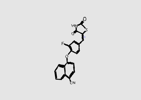 N#Cc1ccc(Oc2ccc(/C=C3/SC(=O)NC3=O)cc2F)c2ccccc12